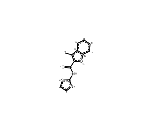 Cc1c(C(=O)Nc2nccs2)oc2ccccc12